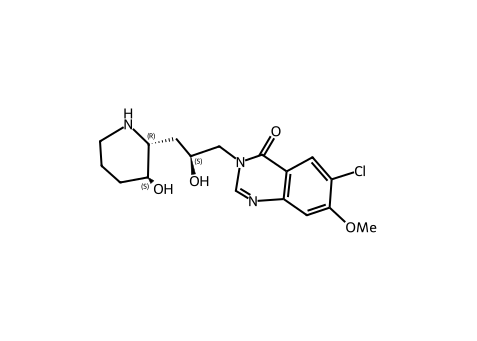 COc1cc2ncn(C[C@@H](O)C[C@H]3NCCC[C@@H]3O)c(=O)c2cc1Cl